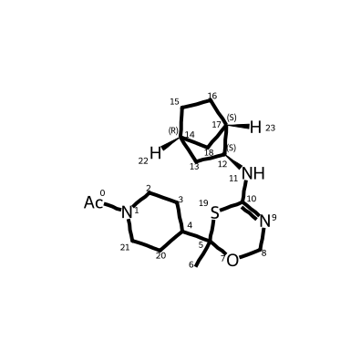 CC(=O)N1CCC(C2(C)OCN=C(N[C@H]3C[C@@H]4CC[C@H]3C4)S2)CC1